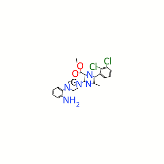 CCOC(=O)c1nc(-c2cccc(Cl)c2Cl)c(C)nc1N1CCN(c2ccccc2N)CC1